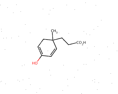 CC1(CCC(=O)O)C=CC(O)=CC1